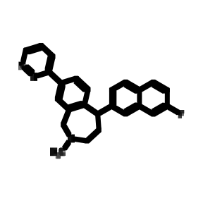 CN1CCC(c2ccc3ccc(F)cc3c2)c2ccc(-c3cccnn3)cc2C1